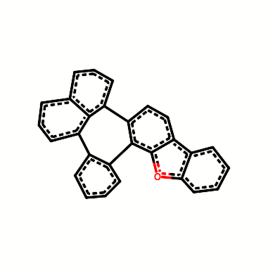 c1ccc2c(c1)-c1c(ccc3c1oc1ccccc13)-c1cccc3cccc-2c13